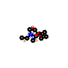 c1ccc2c(c1)-c1ccccc1C21c2ccccc2-c2cccc(-c3ccc(-c4ccc5oc6cccc(-c7nc(-c8ccc9sc%10ccccc%10c9c8)nc(-c8cccc9sc%10ccccc%10c89)n7)c6c5c4)cc3)c21